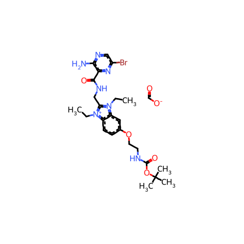 CCn1c(CNC(=O)c2nc(Br)cnc2N)[n+](CC)c2ccc(OCCNC(=O)OC(C)(C)C)cc21.O=C[O-]